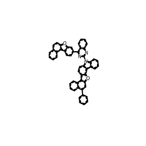 c1ccc(-c2cc3oc4c(ccc5c4c4ccccc4n5-c4nc(-c5ccc6c(c5)oc5ccc7ccccc7c56)c5ccccc5n4)c3c3ccccc23)cc1